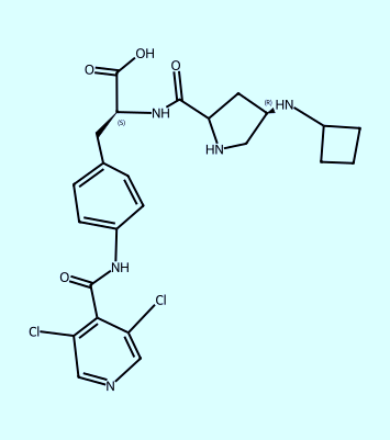 O=C(Nc1ccc(C[C@H](NC(=O)C2C[C@@H](NC3CCC3)CN2)C(=O)O)cc1)c1c(Cl)cncc1Cl